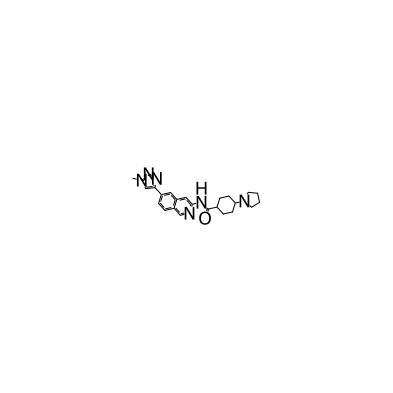 Cn1cc(-c2ccc3cnc(NC(=O)C4CCC(N5CCCC5)CC4)cc3c2)nn1